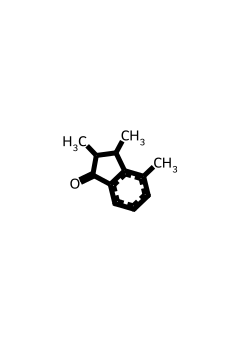 Cc1cccc2c1C(C)C(C)C2=O